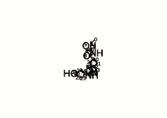 CCC[C@@H](CO)NC(=O)c1ccc2cnc(N[C@H]3CC[C@H](O)CC3)nc2c1